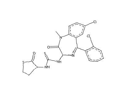 CN1C(=O)C(NC(=S)NC2CCSC2=O)N=C(c2ccccc2Cl)c2cc(Cl)ccc21